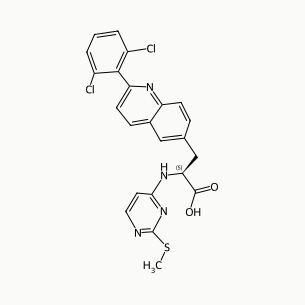 CSc1nccc(N[C@@H](Cc2ccc3nc(-c4c(Cl)cccc4Cl)ccc3c2)C(=O)O)n1